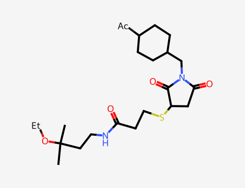 CCOC(C)(C)CCNC(=O)CCSC1CC(=O)N(CC2CCC(C(C)=O)CC2)C1=O